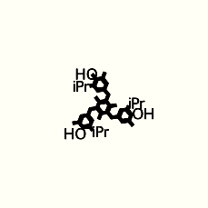 Cc1cc(Cc2c(C)c(Cc3cc(C)c(O)c(C(C)C)c3)c(C)c(Cc3cc(C)c(O)c(C(C)C)c3)c2C)cc(C(C)C)c1O